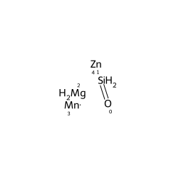 O=[SiH2].[MgH2].[Mn].[Zn]